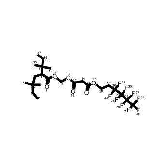 CCC(C)(C)CC(C(=O)OCOC(=O)CC(=O)OCCC(F)(F)C(F)(F)C(F)(F)C(F)(F)F)C(C)(C)CC